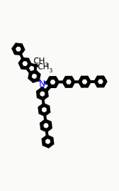 CC1(C)c2cc(-c3ccccc3)ccc2-c2ccc(-n3c4ccc(-c5ccc(-c6ccc(-c7ccccc7)cc6)cc5)cc4c4cc(-c5ccc(-c6ccc(-c7ccccc7)cc6)cc5)ccc43)cc21